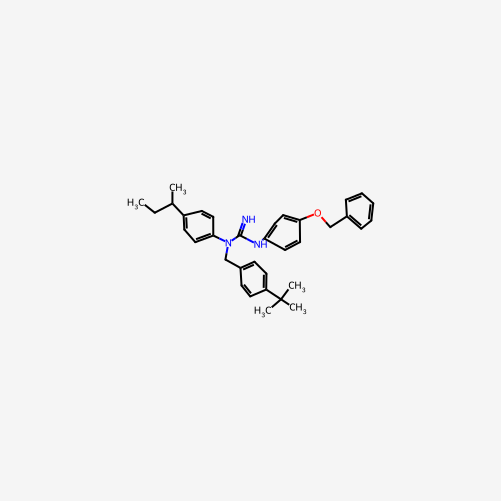 CCC(C)c1ccc(N(Cc2ccc(C(C)(C)C)cc2)C(=N)Nc2ccc(OCc3ccccc3)cc2)cc1